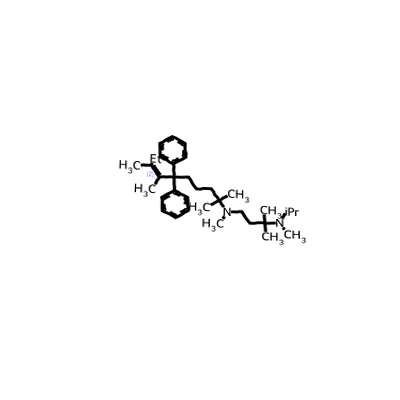 CC/C(C)=C(/C)C(CCCC(C)(C)N(C)CCC(C)(C)N(C)C(C)C)(c1ccccc1)c1ccccc1